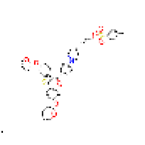 Cc1ccc(S(=O)(=O)OCCCCC2CCN(c3ccc(C(=O)c4c(-c5ccc(OC6CCCCO6)cc5)sc5cc(OC6CCCCO6)ccc45)cc3)CC2)cc1